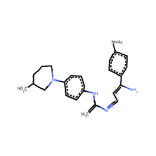 C=C(/N=C\C=C(/N)c1ccc(NC(C)=O)cc1)Nc1ccc(N2CCCC(C(=O)O)C2)cc1